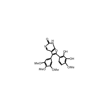 COc1ccc(-c2oc3[nH]c(=O)ncc3c2-c2cc(OC)c(OC)c(OC)c2)c(O)c1O